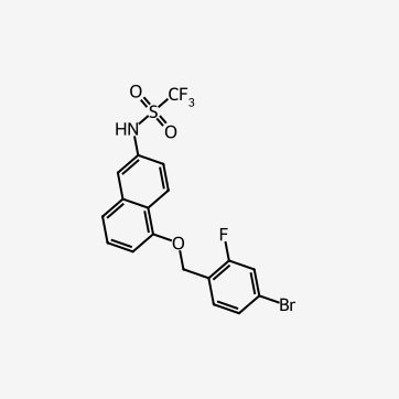 O=S(=O)(Nc1ccc2c(OCc3ccc(Br)cc3F)cccc2c1)C(F)(F)F